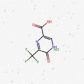 Cl.O=C(O)c1c[nH]c(=O)c(C(F)(F)F)n1